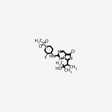 CC(c1nc(Cl)c2cnc(N[C@@H]3CCN(S(C)(=O)=O)C[C@H]3F)nn12)C(C)(C)O